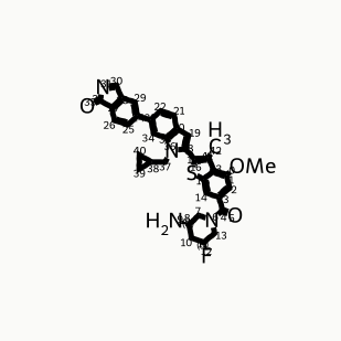 COc1cc(C(=O)N2C[C@H](N)C[C@@H](F)C2)cc2sc(-c3cc4ccc(-c5ccc6c(c5)C=NC6=O)cc4n3CC3CC3)c(C)c12